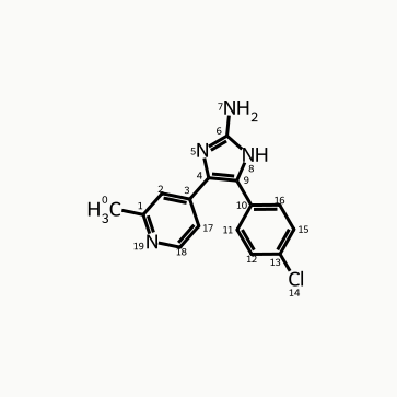 Cc1cc(-c2nc(N)[nH]c2-c2ccc(Cl)cc2)ccn1